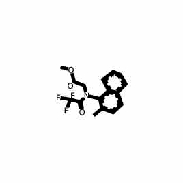 COC(=O)CN(C(=O)C(F)(F)F)c1c(C)ccc2ccccc12